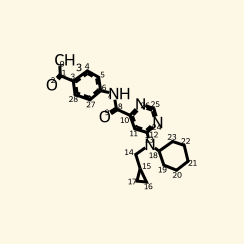 CC(=O)c1ccc(NC(=O)c2cc(N(CC3CC3)C3CCCCC3)ncn2)cc1